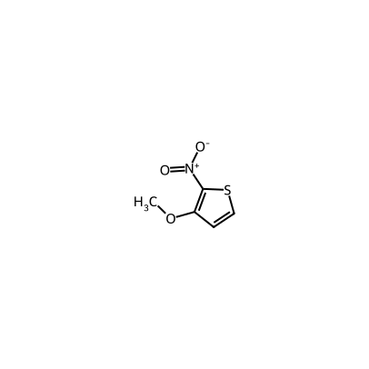 COc1ccsc1[N+](=O)[O-]